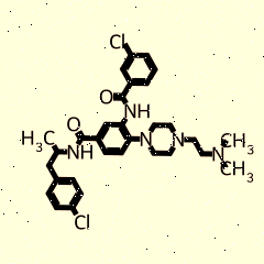 CC(Cc1ccc(Cl)cc1)NC(=O)c1ccc(N2CCN(CCN(C)C)CC2)c(NC(=O)c2cccc(Cl)c2)c1